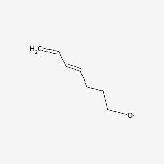 C=CC=CCCC[O]